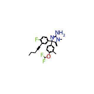 C=C1N(C)C(N)=NC1(c1ccc(OC(F)F)c(C)c1)c1ccc(F)c(C#CCCC)c1